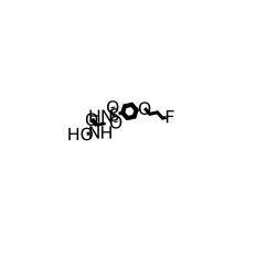 O=C(CNS(=O)(=O)c1ccc(OCCCF)cc1)NO